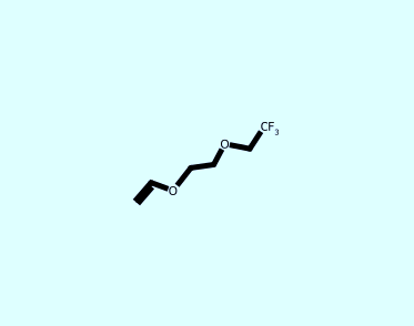 C=COCCOCC(F)(F)F